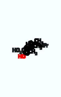 CC(C)CCC[C@@H](C)[C@H]1CC[C@H]2[C@@H]3CCC4(C(=O)O)CC(O)CC[C@]4(C)[C@H]3CC[C@]12C